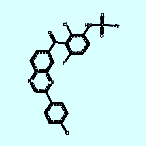 CCCS(=O)(=O)Nc1ccc(F)c(C(=O)c2ccc3ncc(-c4ccc(Cl)cc4)nc3c2)c1Cl